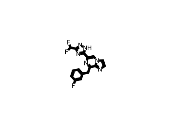 Fc1cccc(Cc2nc(-c3nc(C(F)F)n[nH]3)cn3ccnc23)c1